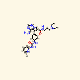 CCN(CC)CCCNC(=O)c1cn2ncnc(N)c2c1-c1ccc(NC(=O)Nc2cccc(C)n2)cc1